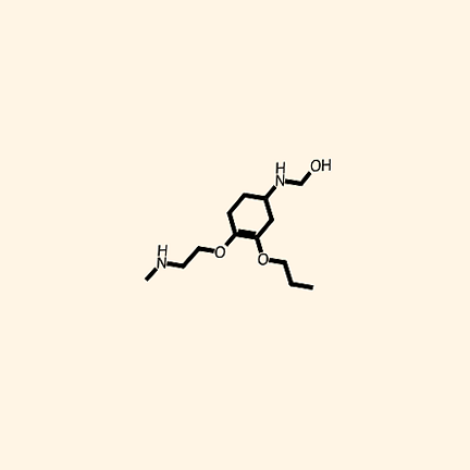 CCCOC1=C(OCCNC)CCC(NCO)C1